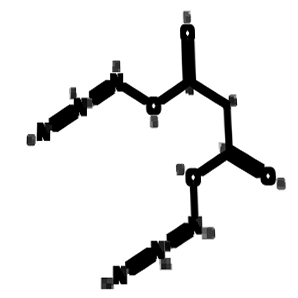 [N-]=[N+]=NOC(=O)CC(=O)ON=[N+]=[N-]